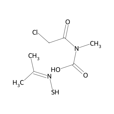 CC(C)=NS.CN(C(=O)O)C(=O)CCl